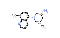 N[C@@H]1C[C@H](C(F)(F)F)CN(c2ccc(C(F)(F)F)c3ncccc23)C1